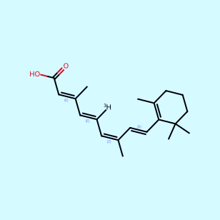 [3H]C(/C=C(C)\C=C\C1=C(C)CCCC1(C)C)=C\C(C)=C\C(=O)O